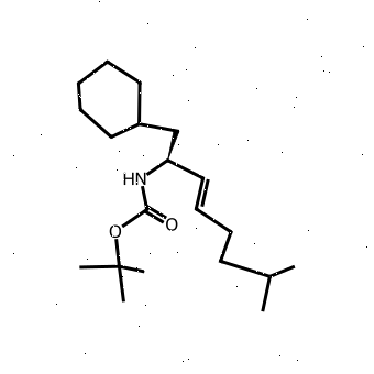 CC(C)CCC=C[C@H](CC1CCCCC1)NC(=O)OC(C)(C)C